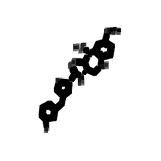 COc1ccc2c(c1)N(C)C(=O)[C@@H](NC(=O)n1cc(Cc3cccc(F)c3)cn1)CN2